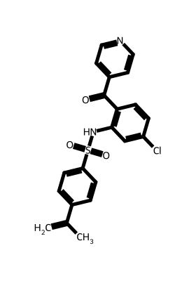 C=C(C)c1ccc(S(=O)(=O)Nc2cc(Cl)ccc2C(=O)c2ccncc2)cc1